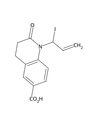 C=CC(I)N1C(=O)CCc2cc(C(=O)O)ccc21